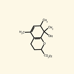 CCOC(=O)C1CCC2=C(O1)C(C)(O)C(C)C=C2C